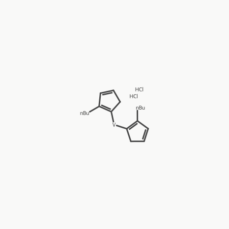 CCCCC1=[C]([V][C]2=C(CCCC)C=CC2)CC=C1.Cl.Cl